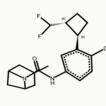 CC1CC2CC(C1)N2C(=O)Nc1ccc(Cl)c([C@@H]2CC[C@H]2C(F)F)c1